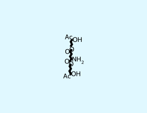 CC(=O)C(O)CCCOC(=O)CC[C@H](N)C(=O)OCCCC(O)C(C)=O